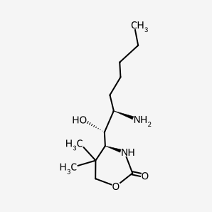 CCCCC[C@@H](N)[C@@H](O)[C@H]1NC(=O)OCC1(C)C